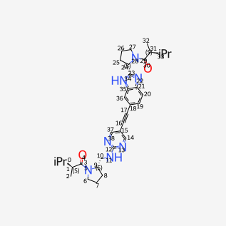 CC(C)[C@H](C)C(=O)N1CCC[C@H]1CNc1ncc(C#Cc2ccc3nc([C@@H]4CCCN4C(=O)[C@@H](C)C(C)C)[nH]c3c2)cn1